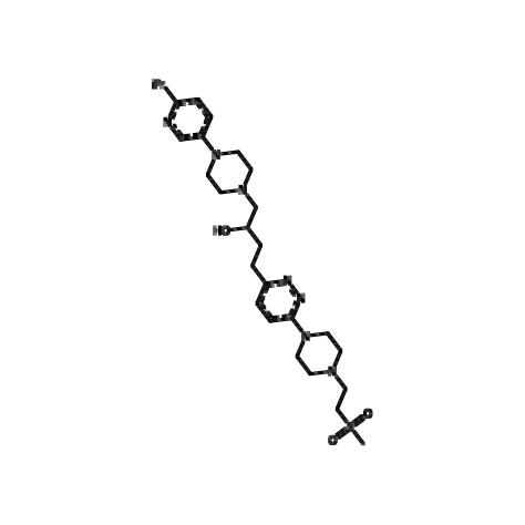 CC(C)c1ccc(N2CCN(CC(O)CCc3ccc(N4CCN(CCS(C)(=O)=O)CC4)nn3)CC2)cn1